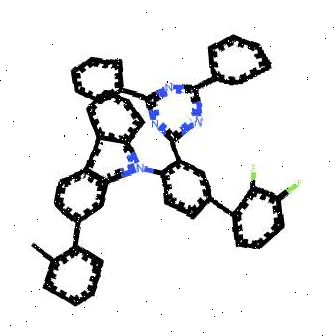 Cc1ccccc1-c1ccc2c3ccccc3n(-c3ccc(-c4cccc(F)c4F)cc3-c3nc(-c4ccccc4)nc(-c4ccccc4)n3)c2c1